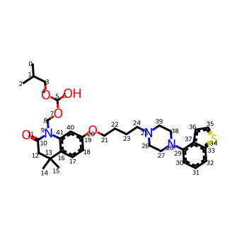 CC(C)COC(O)OCN1C(=O)CC(C)(C)c2ccc(OCCCCN3CCN(c4cccc5sccc45)CC3)cc21